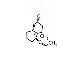 CC=C=C1CCCC2=CC(=O)CC[C@@]12C